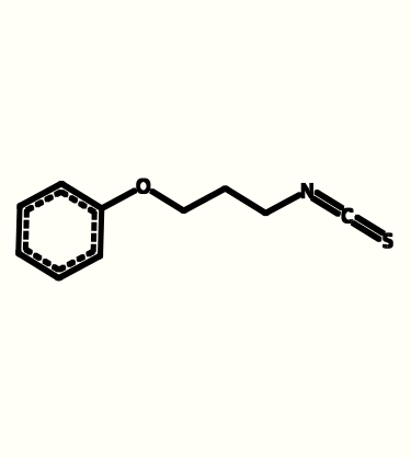 S=C=NCCCOc1ccccc1